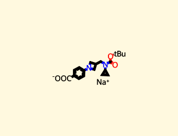 CC(C)(C)OC(=O)N(CC1CN(c2ccc(C(=O)[O-])cc2)C1)C1CC1.[Na+]